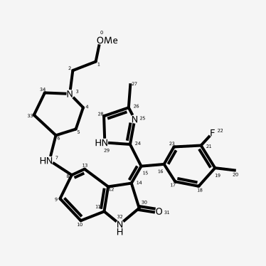 COCCN1CCC(Nc2ccc3c(c2)C(=C(c2ccc(C)c(F)c2)c2nc(C)c[nH]2)C(=O)N3)CC1